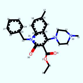 CCOC(=O)c1c(N2CCN(C)CC2)c2cc(C)ccc2n(Cc2ccccc2)c1=O